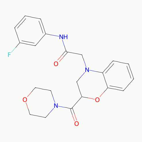 O=C(CN1CC(C(=O)N2CCOCC2)Oc2ccccc21)Nc1cccc(F)c1